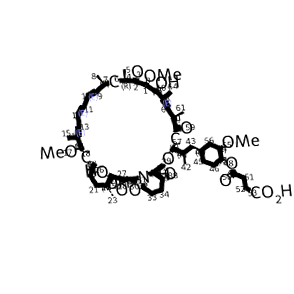 COC1C(=O)[C@H](C)C[C@H](C)/C=C/C=C/C=C(\C)[C@@H](OC)C[C@@H]2CC[C@@H](C)[C@@](O)(O2)C(=O)C(=O)N2CCCC[C@H]2C(=O)O[C@H]([C@H](C)C[C@@H]2CC[C@@H](OC(=O)CCC(=O)O)[C@H](OC)C2)CC(=O)[C@H](C)/C=C(\C)[C@H]1O